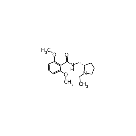 CCN1CCC[C@H]1CNC(=O)c1c(OC)cccc1OC